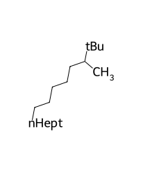 CCCCCCCCCCCCC(C)C(C)(C)C